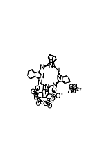 O=S(=O)([O-])c1c(S(=O)(=O)[O-])c(S(=O)(=O)[O-])c2c3nc4nc(nc5[nH]c(nc6nc(nc([nH]3)c2c1S(=O)(=O)[O-])-c1ccccc1-6)c1ccccc51)-c1ccccc1-4.[Al+2][Cl].[Al+2][Cl]